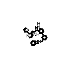 c1ccc(CNCc2cccc(-c3ccc4[nH]nc(-c5cc6c(-c7cccs7)nccc6[nH]5)c4c3)c2)cc1